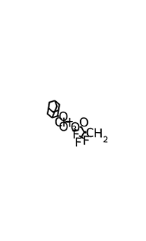 C=C(C(=O)OCC(=O)OC1(C)C2CC3CC(C2)CC1C3)C(F)(F)F